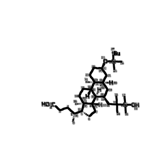 C[C@H](CCC(=O)O)[C@H]1CC[C@H]2[C@@H]3[C@H](CC(C)(C)[Si](C)(C)O)C[C@@H]4C[C@H](O[Si](C)(C)C(C)(C)C)CC[C@]4(C)[C@H]3CC[C@]12C